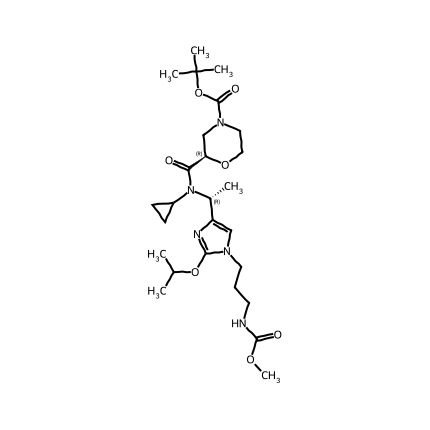 COC(=O)NCCCn1cc([C@@H](C)N(C(=O)[C@H]2CN(C(=O)OC(C)(C)C)CCO2)C2CC2)nc1OC(C)C